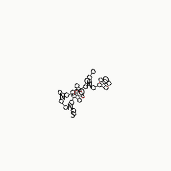 c1ccc(-c2ccc3oc(N(c4ccc(-c5ccc(-c6ccc(-c7ccc8c(c7)c7ccccc7n8-c7cccc(-c8cccc(N(c9ccc(-c%10cccc%11c%10-c%10ccccc%10C%11%10c%11ccccc%11Oc%11ccccc%11%10)cc9)c9ccc%10ccsc%10c9)c8)c7)cc6)c6ccccc56)cc4)c4cccc(-c5ccc6c(c5)-c5ccccc5C65c6ccccc6Oc6ccccc65)c4)cc3c2)cc1